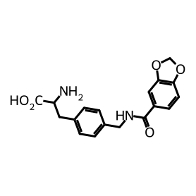 NC(Cc1ccc(CNC(=O)c2ccc3c(c2)OCO3)cc1)C(=O)O